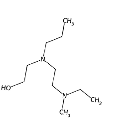 CCCN(CCO)CCN(C)CC